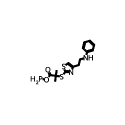 CC(C)(Sc1nc(CCNc2ccccc2)cs1)C(=O)OP